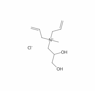 C=CC[N+](C)(CC=C)CC(O)CO.[Cl-]